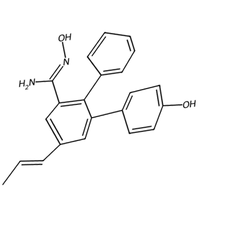 CC=Cc1cc(C(N)=NO)c(-c2ccccc2)c(-c2ccc(O)cc2)c1